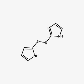 c1c[nH]c(SSc2ccc[nH]2)c1